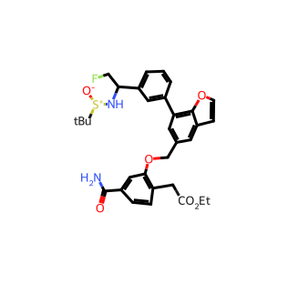 CCOC(=O)Cc1ccc(C(N)=O)cc1OCc1cc(-c2cccc(C(CF)N[S+]([O-])C(C)(C)C)c2)c2occc2c1